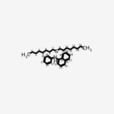 CCCCCCCCSCCCCCCCC.c1ccc(Nc2cccc3ccccc23)cc1